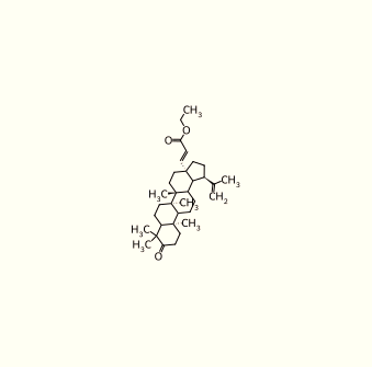 C=C(C)[C@@H]1CC[C@]2(/C=C/C(=O)OCC)CC[C@]3(C)C(CCC4[C@@]5(C)CCC(=O)C(C)(C)C5CC[C@]43C)C12